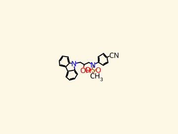 CS(=O)(=O)N(CC(O)Cn1c2ccccc2c2ccccc21)c1ccc(C#N)cc1